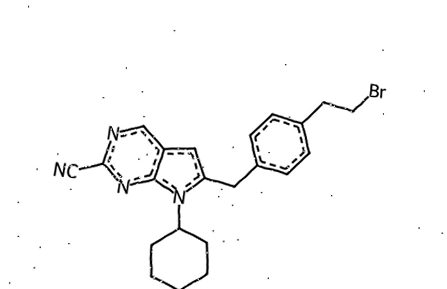 N#Cc1ncc2cc(Cc3ccc(CCBr)cc3)n(C3CCCCC3)c2n1